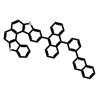 c1cc(-c2ccc3ccccc3c2)cc(-c2c3ccccc3c(-c3ccc4c(c3)sc3ccc5ccc6sc7ccccc7c6c5c34)c3ccccc23)c1